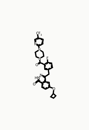 O=C(c1cc(Cc2n[nH]c(=O)c3ccc(OC4CCC4)cc23)ccc1F)N1CCN(c2ccc(C(F)(F)F)cn2)CC1